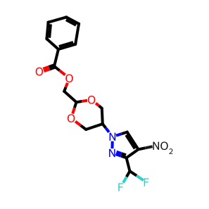 O=C(OCC1OCC(n2cc([N+](=O)[O-])c(C(F)F)n2)CO1)c1ccccc1